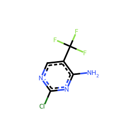 Nc1nc(Cl)ncc1C(F)(F)F